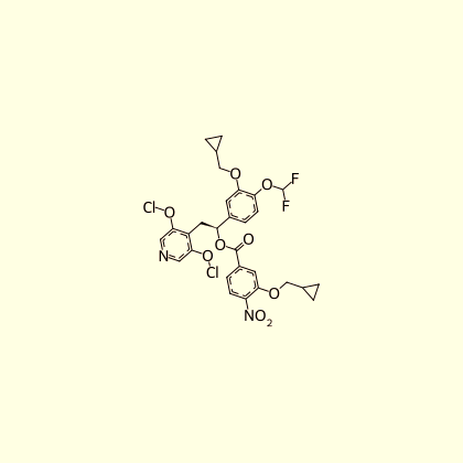 O=C(O[C@@H](Cc1c(OCl)cncc1OCl)c1ccc(OC(F)F)c(OCC2CC2)c1)c1ccc([N+](=O)[O-])c(OCC2CC2)c1